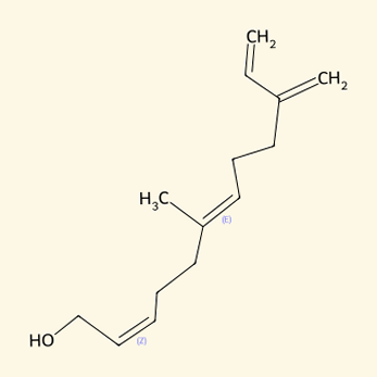 C=CC(=C)CC/C=C(\C)CC/C=C\CO